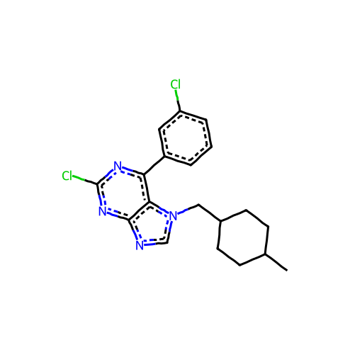 CC1CCC(Cn2cnc3nc(Cl)nc(-c4cccc(Cl)c4)c32)CC1